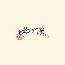 CCc1c2c(nc3ccc(OC(=O)CCCCCN4C(=O)CC(SC(P)P)C4=O)cc13)-c1cc3c(c(=O)n1C2)COC(=O)[C@]3(O)CC